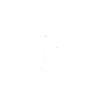 Cc1ccc(O)cc1C12CCN(C(=O)Cn3nc(C(F)F)cc3C(F)F)CCC1(O)C(C)N(CC1CC1)CC2